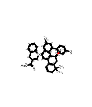 CC1(C)CC=CC2=C1CC(=C=O)c1c2ccc2cc(C(F)(F)F)cc(-c3ccc(Cl)cc3)c12.COC(=O)C1=COc2ccccc2C1